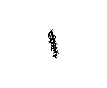 CC(C)(C)OC(=O)c1cn(Cc2ccc(CN3CC4CC4C3=O)cc2)nn1